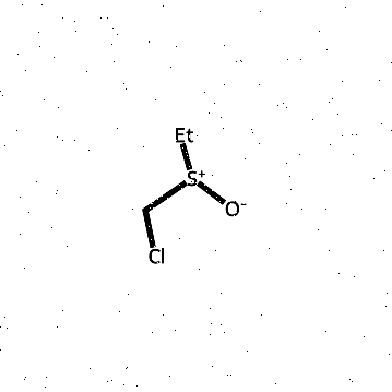 CC[S+]([O-])CCl